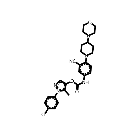 Cc1c(OC(=O)Nc2ccc(N3CCC(N4CCOCC4)CC3)c(C#N)c2)cnn1-c1ccc(Cl)cc1